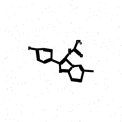 Cc1ccc2nc(-c3ccc(F)cc3)c(NC(=O)C(F)(F)F)n2c1